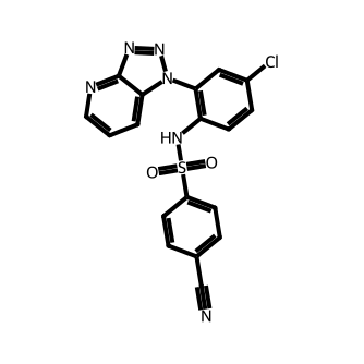 N#Cc1ccc(S(=O)(=O)Nc2ccc(Cl)cc2-n2nnc3ncccc32)cc1